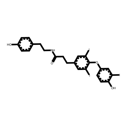 O=C(CCc1cc(I)c(Oc2ccc(O)c(I)c2)c(I)c1)NCCc1ccc(O)cc1